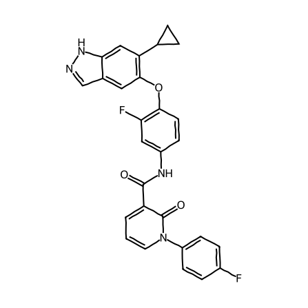 O=C(Nc1ccc(Oc2cc3cn[nH]c3cc2C2CC2)c(F)c1)c1cccn(-c2ccc(F)cc2)c1=O